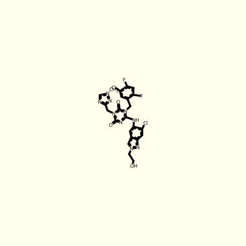 Cn1cnc(Cn2c(=O)nc(Nc3cc4cn(CCO)nc4cc3Cl)n(Cc3cc(Cl)c(F)cc3F)c2=O)n1